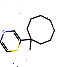 CC1(C2=C[N]C=CS2)CCCCCCC1